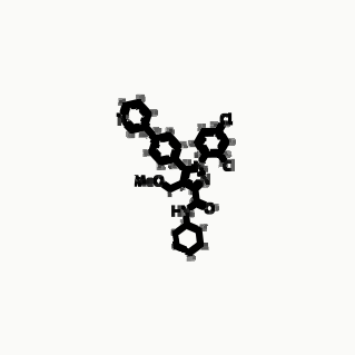 COCc1c(C(=O)NC2CCCCC2)nn(-c2ccc(Cl)cc2Cl)c1-c1ccc(-c2cccnc2)cc1